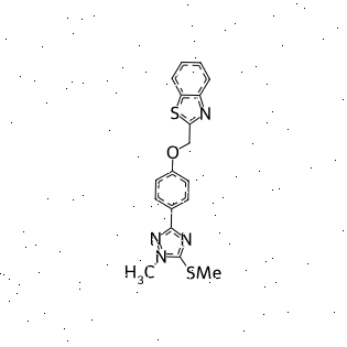 CSc1nc(-c2ccc(OCc3nc4ccccc4s3)cc2)nn1C